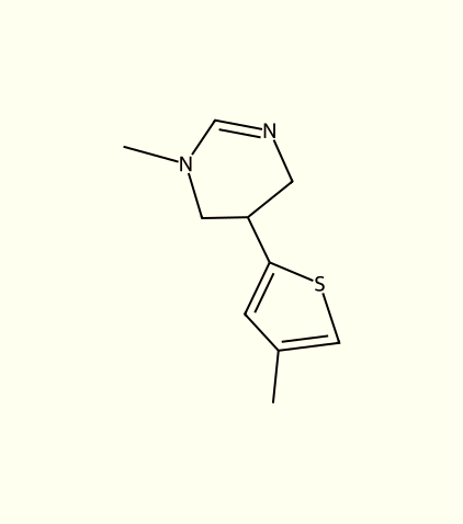 Cc1csc(C2CN=CN(C)C2)c1